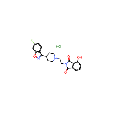 Cl.O=C1c2cccc(O)c2C(=O)N1CCN1CCC(c2noc3cc(F)ccc23)CC1